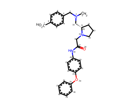 CN(Cc1ccc(C(=O)O)cc1)C[C@@H]1CCCN1CC(=O)Nc1ccc(Oc2ccccc2)cc1